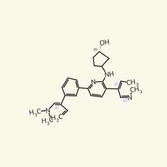 C=C/C(=C\N(C)C)c1cccc(-c2ccc(C(/C=N\C)=C/C)c(NC3CC[C@H](O)C3)n2)c1